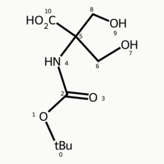 CC(C)(C)OC(=O)NC(CO)(CO)C(=O)O